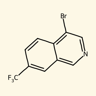 FC(F)(F)c1ccc2c(Br)cncc2c1